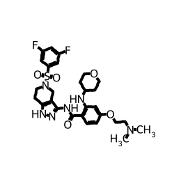 CN(C)CCOc1ccc(C(=O)Nc2n[nH]c3c2CN(S(=O)(=O)c2cc(F)cc(F)c2)CC3)c(NC2CCOCC2)c1